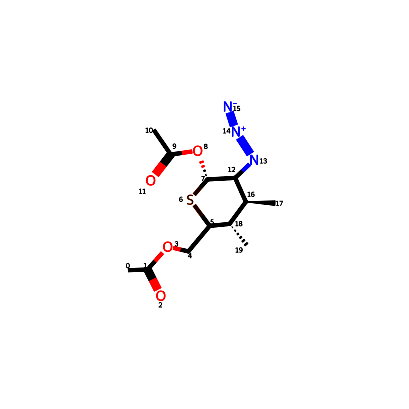 CC(=O)OCC1S[C@H](OC(C)=O)C(N=[N+]=[N-])[C@@H](C)[C@@H]1C